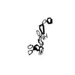 COc1cc2nncc(N3CCN(C(=O)Nc4ccc(Oc5ccccc5)cc4)CC3)c2cc1OC